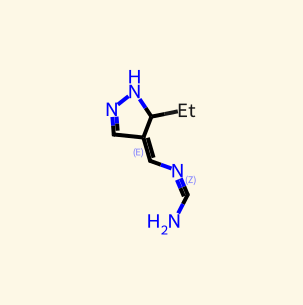 CCC1NN=C/C1=C/N=C\N